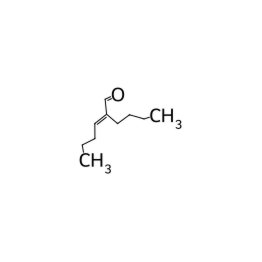 CCC/C=C(/C=O)CCCC